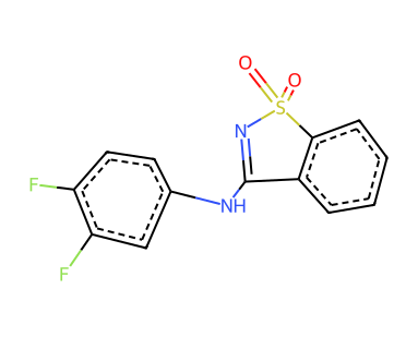 O=S1(=O)N=C(Nc2ccc(F)c(F)c2)c2ccccc21